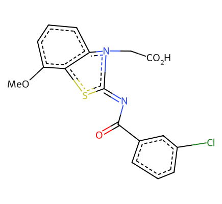 COc1cccc2c1s/c(=N\C(=O)c1cccc(Cl)c1)n2CC(=O)O